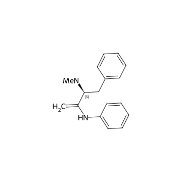 C=C(Nc1ccccc1)[C@H](Cc1ccccc1)NC